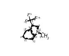 Cn1cc(C(F)(F)F)c2ccccc21